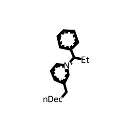 CCCCCCCCCCCc1ccc[n+](C(CC)c2ccccc2)c1